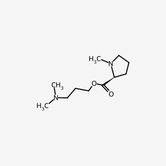 CN(C)CCCOC(=O)[C@@H]1CCCN1C